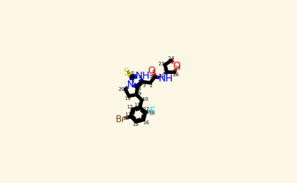 O=C(Cc1[nH]c(=S)n2c1C(Cc1cc(Br)ccc1F)CC2)NC1CCOC1